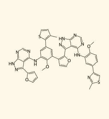 COc1ccc(-c2csc(C)n2)cc1Nc1ncnc2[nH]nc(-c3occc3-c3cc(-c4sccc4C)cc(Nc4ncnc5[nH]nc(-c6ccco6)c45)c3OC)c12